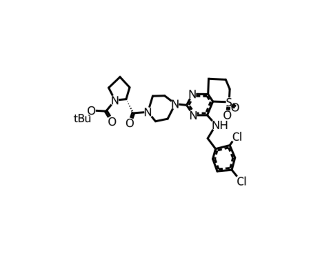 CC(C)(C)OC(=O)N1CCC[C@@H]1C(=O)N1CCN(c2nc3c(c(NCc4ccc(Cl)cc4Cl)n2)S(=O)(=O)CCC3)CC1